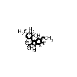 C=C/C=C\C(=C(\C)N)c1c(C(C)=O)[nH]c2cc(F)c(CC)cc12